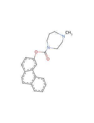 CN1CCCN(C(=O)Oc2ccc3ccc4ccccc4c3c2)CC1